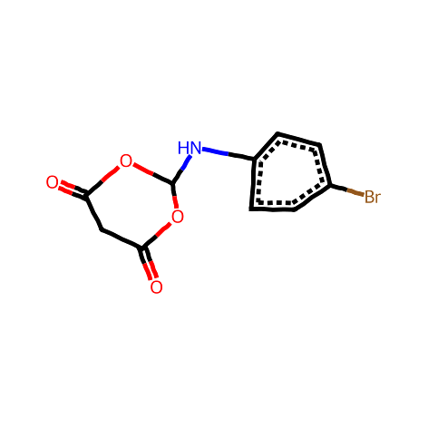 O=C1CC(=O)OC(Nc2ccc(Br)cc2)O1